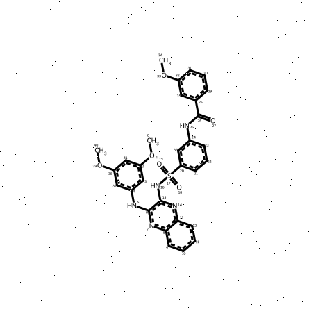 COc1cc(Nc2nc3ccccc3nc2NS(=O)(=O)c2cccc(NC(=O)c3cccc(OC)c3)c2)cc(OC)c1